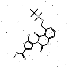 COC(=O)c1cc(-n2c(=O)[nH]c3cccc(CO[Si](C)(C)C(C)(C)C)c3c2=O)c(Cl)s1